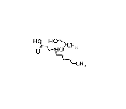 CC(O)CO.CCCCCCCCCC(=O)O